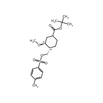 CO[C@H]1CN(C(=O)OC(C)(C)C)CC[C@@H]1COS(=O)(=O)c1ccc(C)cc1